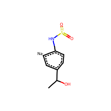 CC(O)c1ccc(N[SH](=O)=O)cc1.[Na]